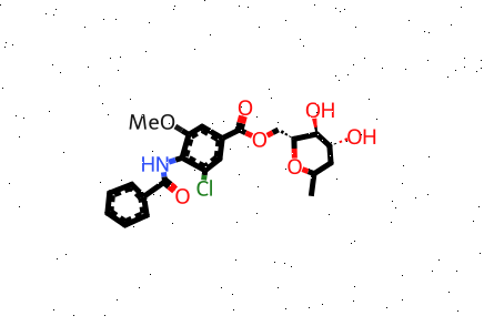 COc1cc(C(=O)OC[C@H]2OC(C)C[C@@H](O)[C@@H]2O)cc(Cl)c1NC(=O)c1ccccc1